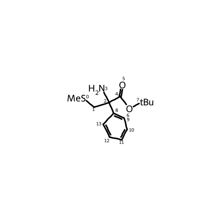 CSCC(N)(C(=O)OC(C)(C)C)c1ccccc1